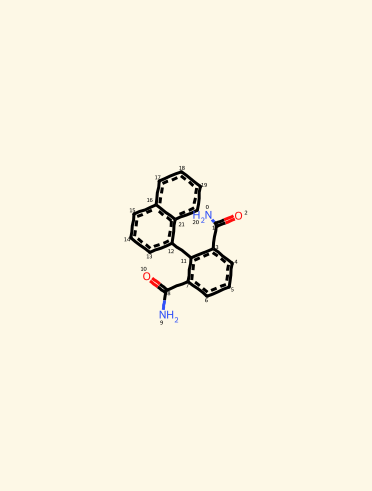 NC(=O)c1cccc(C(N)=O)c1-c1cccc2ccccc12